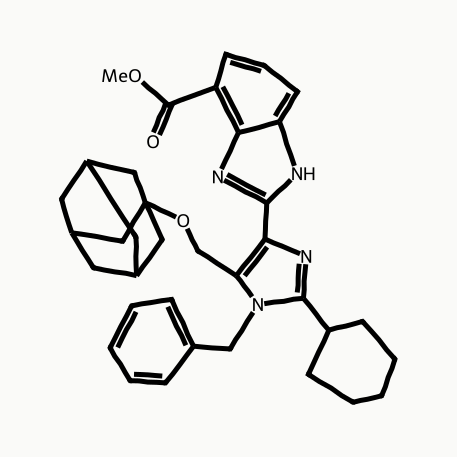 COC(=O)c1cccc2[nH]c(-c3nc(C4CCCCC4)n(Cc4ccccc4)c3COC34CC5CC(CC(C5)C3)C4)nc12